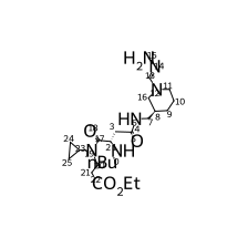 CCCCN[C@@H](CC(=O)NC[C@@H]1CCCN(C=NN)C1)C(=O)N(CCC(=O)OCC)C1CC1